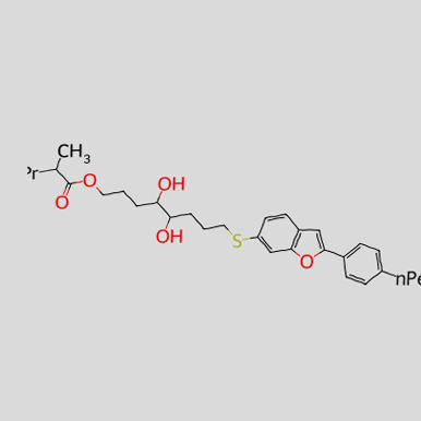 CCCCCc1ccc(-c2cc3ccc(SCCCC(O)C(O)CCCOC(=O)C(C)C(C)C)cc3o2)cc1